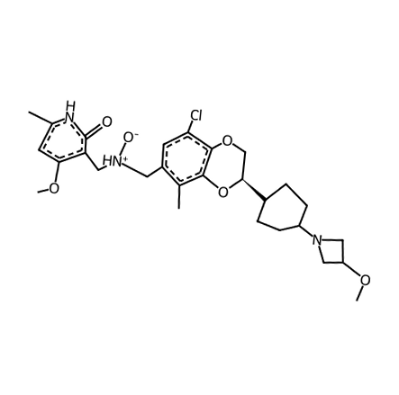 COc1cc(C)[nH]c(=O)c1C[NH+]([O-])Cc1cc(Cl)c2c(c1C)O[C@H](C1CCC(N3CC(OC)C3)CC1)CO2